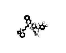 NCC[C@H](NC(=O)[C@@H]1Cc2ccccc2CN1C(=O)CCC(=O)N1CCCCC12CCC2)C(=O)Nc1ccc(Cl)c(Cl)c1F